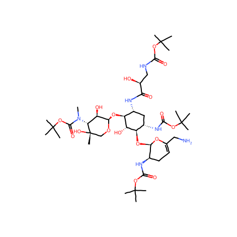 CN(C(=O)OC(C)(C)C)[C@@H]1[C@@H](O)[C@@H](O[C@@H]2[C@@H](O)[C@H](O[C@H]3OC(CN)=CC[C@H]3NC(=O)OC(C)(C)C)[C@@H](NC(=O)OC(C)(C)C)C[C@H]2NC(=O)[C@@H](O)CNC(=O)OC(C)(C)C)OC[C@]1(C)O